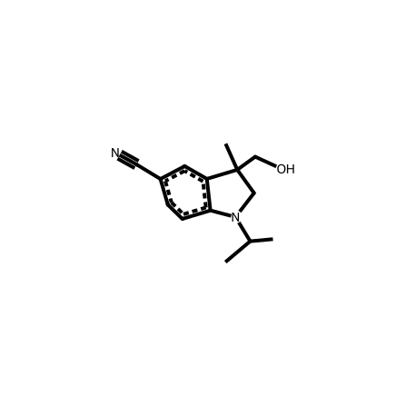 CC(C)N1CC(C)(CO)c2cc(C#N)ccc21